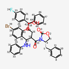 O=C1OC[C@H](Cc2ccccc2)N1C(=O)C(CCC(O)c1ccc(F)cc1)C(Nc1ccccc1)c1ccc(Br)cc1OCc1ccccc1